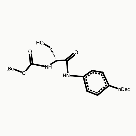 CCCCCCCCCCc1ccc(NC(=O)[C@@H](CO)NC(=O)OC(C)(C)C)cc1